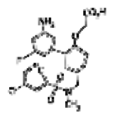 CN(Cc1ccc(OCC(=O)O)c(-c2cc(N)cc(F)c2)c1)S(=O)(=O)c1cccc(Cl)c1